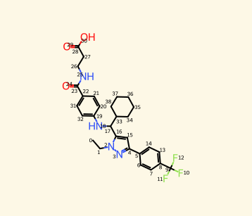 CCn1nc(-c2ccc(C(F)(F)F)cc2)cc1C(Nc1ccc(C(=O)NCCC(=O)O)cc1)C1CCCCC1